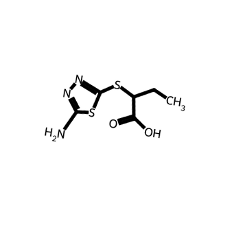 CCC(Sc1nnc(N)s1)C(=O)O